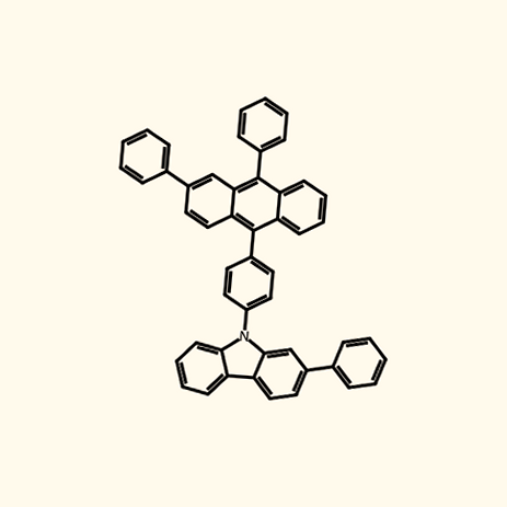 c1ccc(-c2ccc3c(-c4ccc(-n5c6ccccc6c6ccc(-c7ccccc7)cc65)cc4)c4ccccc4c(-c4ccccc4)c3c2)cc1